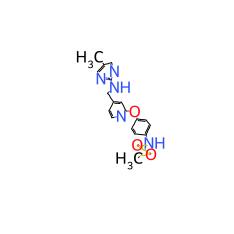 Cc1cnc(NCc2ccnc(Oc3ccc(NS(C)(=O)=O)cc3)c2)nc1